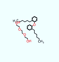 CCCCCCc1ccccc1Oc1ccccc1CCCCCC.OCCOCCOCCO